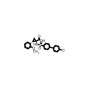 COc1ccccc1[C@@H]1C[C@]1(NS(=O)(=O)c1ccc(-c2ccc(Cl)cc2)cc1)C(=O)O